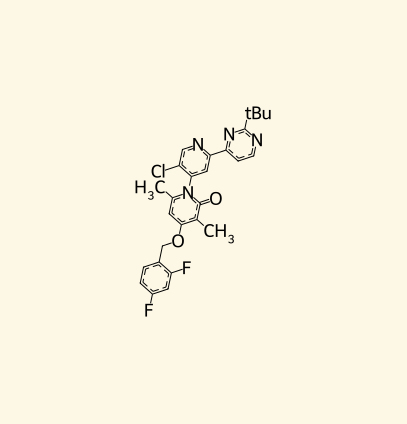 Cc1c(OCc2ccc(F)cc2F)cc(C)n(-c2cc(-c3ccnc(C(C)(C)C)n3)ncc2Cl)c1=O